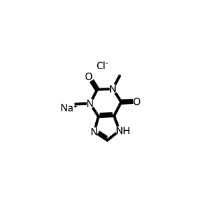 Cn1c(=O)c2[nH]cnc2n(C)c1=O.[Cl-].[Na+]